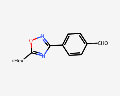 CCCCCCc1nc(-c2ccc(C=O)cc2)no1